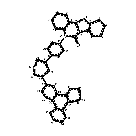 O=c1c2c3ccccc3sc2c2ccccc2n1-c1ccc(-c2cccc(-c3ccc4c5ccccc5c5ccccc5c4c3)c2)cc1